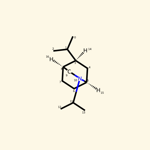 CC(C)[C@H]1C[C@H]2CC[C@@H]1CN2C(C)C